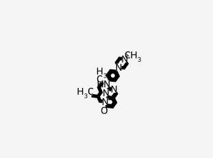 CCCCC(CC)Cn1c(=O)ccc2cnc(Nc3ccc(N4CCN(C)CC4)cc3)nc21